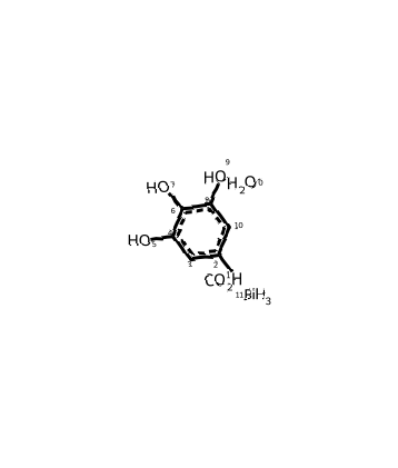 O.O=C(O)c1cc(O)c(O)c(O)c1.[BiH3]